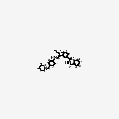 C[C@@H](NC(=O)c1ccc2c(c1)C(=CNc1ccc(CN3CCCCC3)cc1)C(=O)N2)c1ccccc1